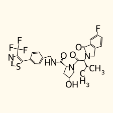 CC(C)[C@@H](C(=O)N1C[C@H](O)C[C@H]1C(=O)NCc1ccc(-c2scnc2C(F)(F)F)cc1)N1Cc2ccc(F)cc2C1=O